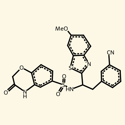 COc1ccc2nc(C(Cc3cccc(C#N)c3)NS(=O)(=O)c3ccc4c(c3)NC(=O)CO4)sc2c1